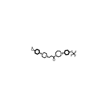 COc1ccc(N2CCN(CCC(=O)N3CCCN(c4ccc(SC(F)(F)F)cc4)CC3)CC2)cc1